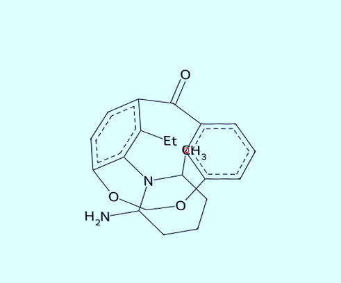 CCc1c2ccc(c1N1C(C)CCCC1N)OCOc1cccc(c1)C2=O